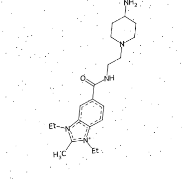 CCn1c(C)[n+](CC)c2ccc(C(=O)NCCN3CCC(N)CC3)cc21